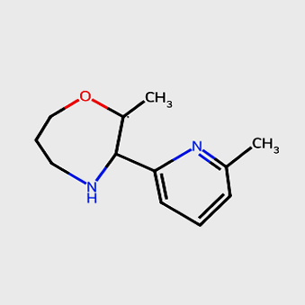 C[C]1OCCCNC1c1cccc(C)n1